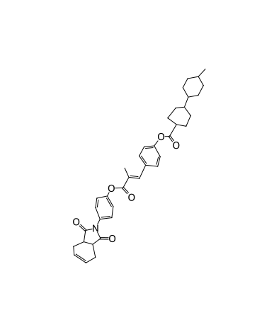 C/C(=C\c1ccc(OC(=O)C2CCC(C3CCC(C)CC3)CC2)cc1)C(=O)Oc1ccc(N2C(=O)C3CC=CCC3C2=O)cc1